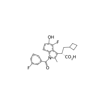 Cc1c([C@H](CC2CCC2)C(=O)O)c2c(F)c(O)ccc2n1C(=O)c1cccc(F)c1